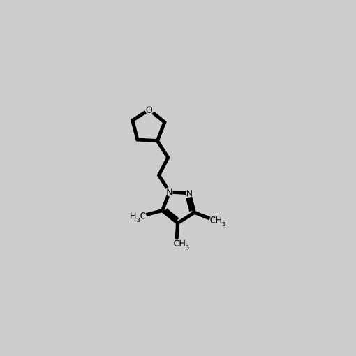 Cc1nn(CCC2CCOC2)c(C)c1C